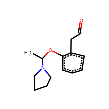 CC(Oc1ccccc1C[C]=O)N1CCCC1